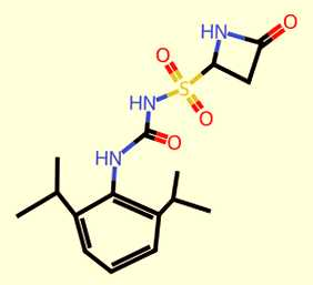 CC(C)c1cccc(C(C)C)c1NC(=O)NS(=O)(=O)C1CC(=O)N1